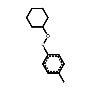 Cc1ccc(SOC2CCCCC2)cc1